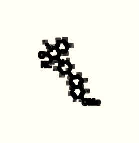 COc1ccc2cc(C3CCN(c4c(C#N)c(=O)n(C)c5ccccc45)CC3)ccc2c1